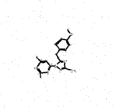 COc1ccc(Cc2nc(N)nn2-c2cc(C)nc(C)n2)cc1